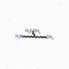 CCCCCCCCC(CCCCCCCN)CCC(C)C